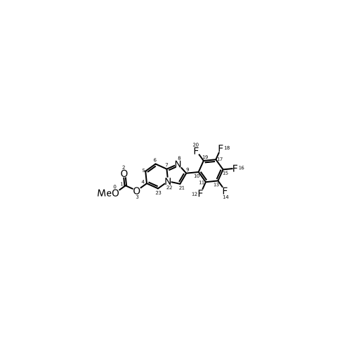 COC(=O)Oc1ccc2nc(-c3c(F)c(F)c(F)c(F)c3F)cn2c1